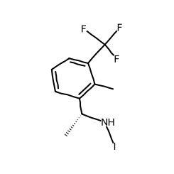 Cc1c([C@@H](C)NI)cccc1C(F)(F)F